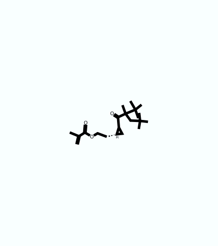 C=C(C)C(=O)OCC[C@H]1CC1C(=O)C(C)(CC(C)(C)C)C(C)(C)C